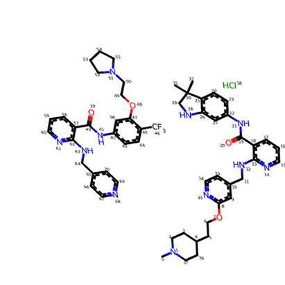 CN1CCC(CCOc2cc(CNc3ncccc3C(=O)Nc3ccc4c(c3)NCC4(C)C)ccn2)CC1.Cl.O=C(Nc1ccc(C(F)(F)F)c(OCCN2CCCC2)c1)c1cccnc1NCc1ccncc1